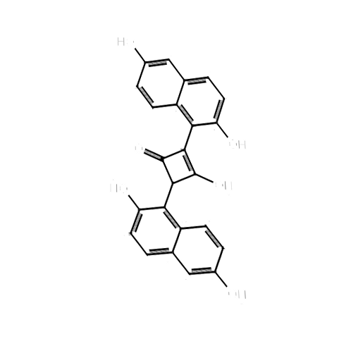 O=C1C(c2c(O)ccc3cc(O)ccc23)=C(O)C1c1c(O)ccc2cc(O)ccc12